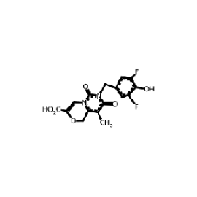 Cc1c2n(c(=O)n(Cc3cc(F)c(O)c(F)c3)c1=O)C=C(C(=O)O)OC2